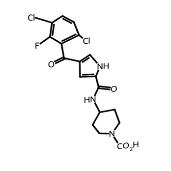 O=C(NC1CCN(C(=O)O)CC1)c1cc(C(=O)c2c(Cl)ccc(Cl)c2F)c[nH]1